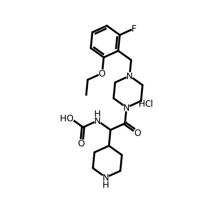 CCOc1cccc(F)c1CN1CCN(C(=O)C(NC(=O)O)C2CCNCC2)CC1.Cl